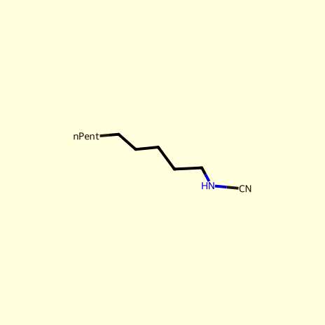 CCCCCCCCCCNC#N